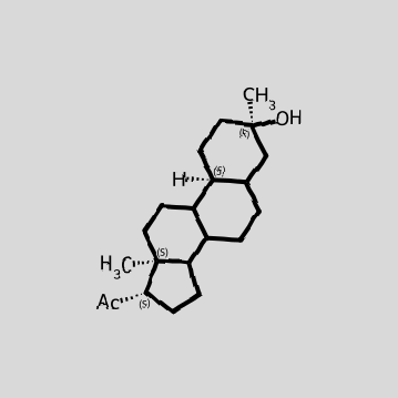 CC(=O)[C@H]1CCC2C3CCC4C[C@](C)(O)CC[C@@H]4C3CC[C@@]21C